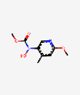 COC(=O)N(O)c1cnc(OC)cc1C